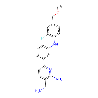 COCc1ccc(Nc2cc[c]c(-c3ccc(CN)c(N)n3)c2)c(F)c1